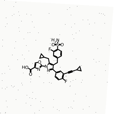 NS(=O)(=O)c1ccc(Cc2c(-c3ccc(F)c(C#CC4CC4)c3)nn(-c3nc(C(=O)O)co3)c2CC2CC2)cc1F